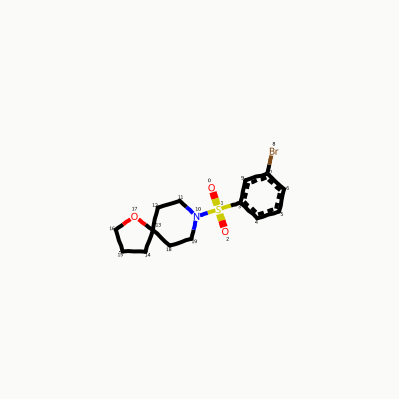 O=S(=O)(c1cccc(Br)c1)N1CCC2(C[CH]CO2)CC1